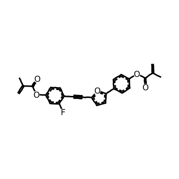 C=C(C)C(=O)Oc1ccc(-c2ccc(C#Cc3ccc(OC(=O)C(=C)C)cc3F)o2)cc1